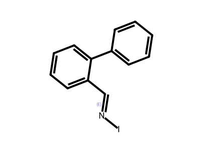 I/N=C/c1ccccc1-c1ccccc1